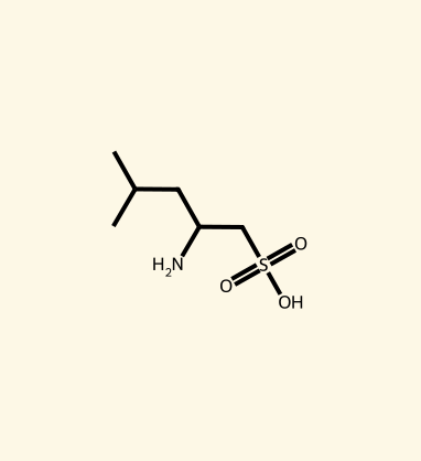 CC(C)CC(N)CS(=O)(=O)O